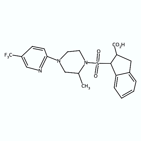 CC1CN(c2ccc(C(F)(F)F)cn2)CCN1S(=O)(=O)C1c2ccccc2CC1C(=O)O